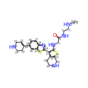 CC(C)NCCNC(=O)CNc1sc2c(c1-c1nc3ccc(C4=CCNCC4)cc3s1)CCNC2